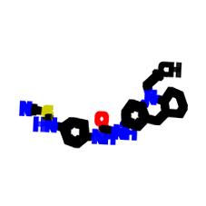 C#CCN1c2ccc(NC(=O)Nc3ccc(NSC#N)cc3)cc2CC2CCCCC21